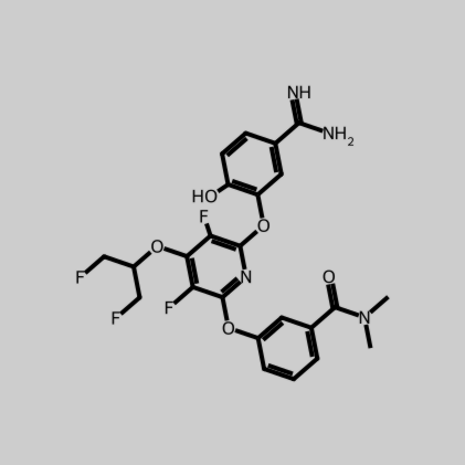 CN(C)C(=O)c1cccc(Oc2nc(Oc3cc(C(=N)N)ccc3O)c(F)c(OC(CF)CF)c2F)c1